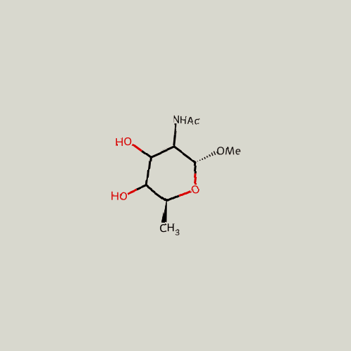 CO[C@@H]1O[C@@H](C)C(O)C(O)C1NC(C)=O